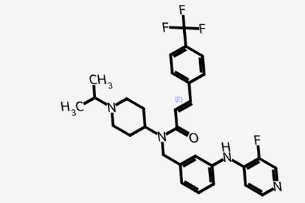 CC(C)N1CCC(N(Cc2cccc(Nc3ccncc3F)c2)C(=O)/C=C/c2ccc(C(F)(F)F)cc2)CC1